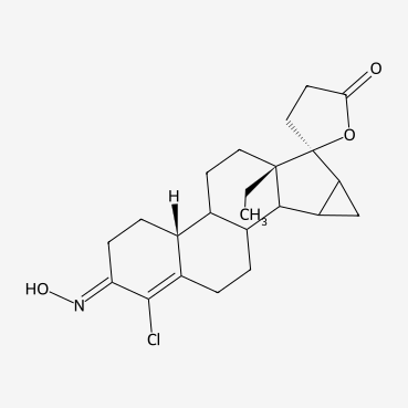 CC[C@]12CCC3C(CCC4=C(Cl)/C(=N/O)CC[C@@H]43)C1C1CC1[C@@]21CCC(=O)O1